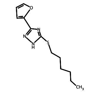 CCCCCCSc1nc(-c2ccco2)n[nH]1